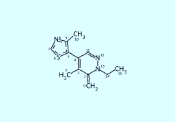 C=C1C(C)=C(c2scnc2C)C=NN1CC